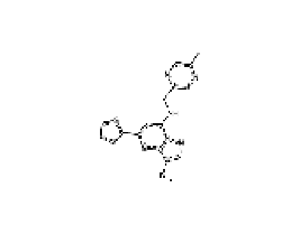 Bc1cnn2c(NCc3cnc(C)cn3)cc(-c3cccs3)nc12